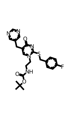 CC(C)(C)OC(=O)NCCn1cc(Cc2cncnc2)c(=O)nc1SCc1ccc(F)cc1